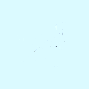 C[C@]12C=C(CO)C(=O)C=C1C(CO)C[C@@H]1[C@@H]2CC[C@]2(C)C(=O)CC[C@@H]12